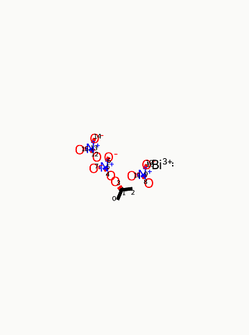 CC(C)=O.O=[N+]([O-])[O-].O=[N+]([O-])[O-].O=[N+]([O-])[O-].[Bi+3]